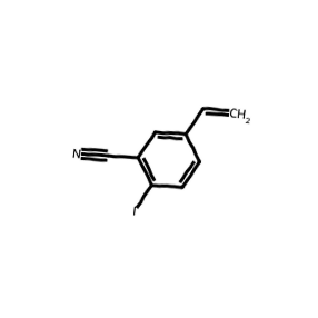 C=Cc1ccc(I)c(C#N)c1